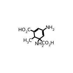 CC1C(C(=O)O)=CC(N)=CC1(N)C(=O)O